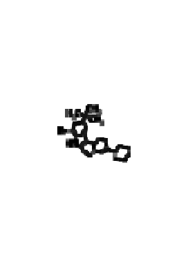 CC(C)(C)c1cc(Br)c2[nH]c3ccc4cc(C5CCCCC5)ccc4c3c2c1